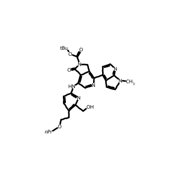 CCCOCCc1ccc(Nc2cnc(-c3ccnc4c3ccn4C)c3c2C(=O)N(C(=O)OC(C)(C)C)C3)nc1CO